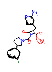 Nc1cc(CC2C(=O)N(C(=O)N3CCCC(c4cccc(F)c4)C3)[C@@H]2C(=O)O)ccn1